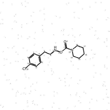 O=C(ONCCc1ccc(Cl)cc1)N1CCCCC1